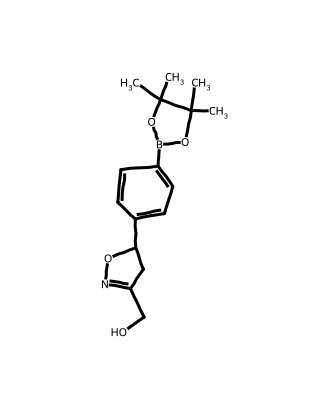 CC1(C)OB(c2ccc(C3CC(CO)=NO3)cc2)OC1(C)C